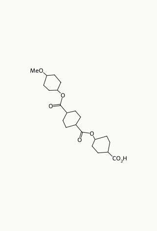 COC1CCC(OC(=O)C2CCC(C(=O)OC3CCC(C(=O)O)CC3)CC2)CC1